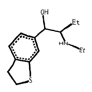 CCNC(CC)C(O)c1ccc2c(c1)SCC2